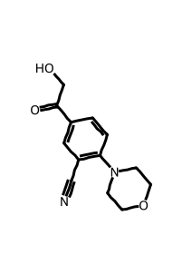 N#Cc1cc(C(=O)CO)ccc1N1CCOCC1